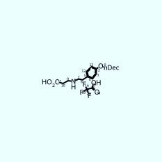 CCCCCCCCCCOc1ccc(CCNCCC(=O)O)cc1.O=C(O)C(F)(F)F